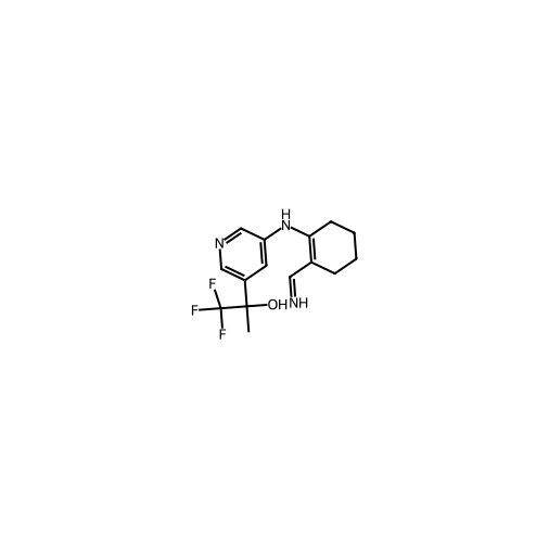 CC(O)(c1cncc(NC2=C(C=N)CCCC2)c1)C(F)(F)F